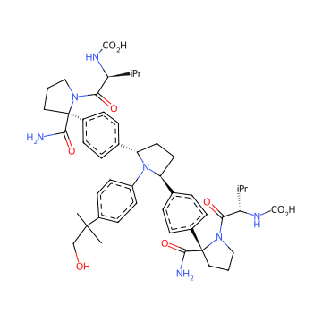 CC(C)[C@H](NC(=O)O)C(=O)N1CCC[C@@]1(C(N)=O)c1ccc([C@@H]2CC[C@@H](c3ccc([C@]4(C(N)=O)CCCN4C(=O)[C@@H](NC(=O)O)C(C)C)cc3)N2c2ccc(C(C)(C)CO)cc2)cc1